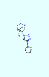 c1csc(-c2cn([C@H]3CN4CCC3CC4)nn2)c1